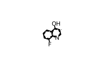 Oc1[c]cnc2c(F)cccc12